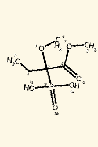 CCC(OC)(C(=O)OC)P(=O)(O)O